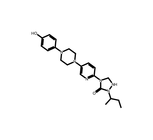 CCC(C)N1NCN(c2ccc(N3CCN(c4ccc(O)cc4)CC3)cn2)C1=O